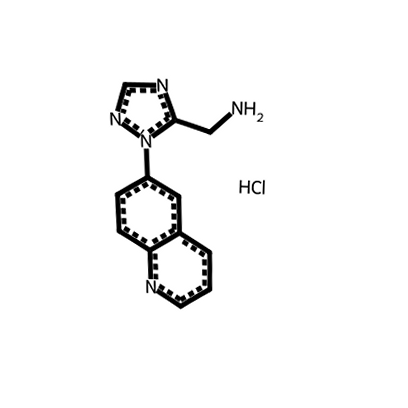 Cl.NCc1ncnn1-c1ccc2ncccc2c1